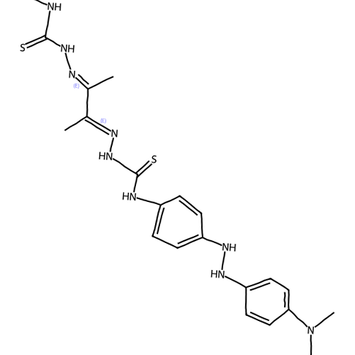 CNC(=S)N/N=C(C)/C(C)=N/NC(=S)Nc1ccc(NNc2ccc(N(C)C)cc2)cc1